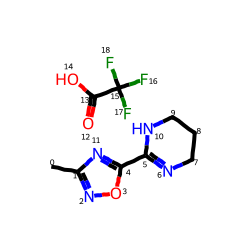 Cc1noc(C2=NCCCN2)n1.O=C(O)C(F)(F)F